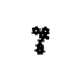 O=c1c2ccccc2c(N2CCOCC2)nn1CCc1cn2ccccc2n1